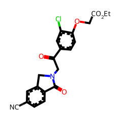 CCOC(=O)COc1ccc(C(=O)CN2Cc3cc(C#N)ccc3C2=O)cc1Cl